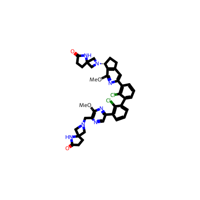 COc1nc(-c2cccc(-c3cccc(-c4cc5c(c(OC)n4)[C@H](N4CC6(CCC(=O)N6)C4)CC5)c3Cl)c2Cl)cnc1CN1CC2(CCC(=O)N2)C1